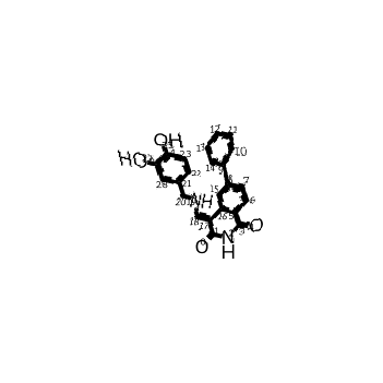 O=C1NC(=O)c2ccc(-c3ccccc3)cc2/C1=C\NCc1ccc(O)c(O)c1